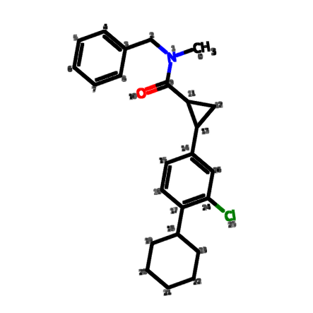 CN(Cc1ccccc1)C(=O)C1CC1c1ccc(C2CCCCC2)c(Cl)c1